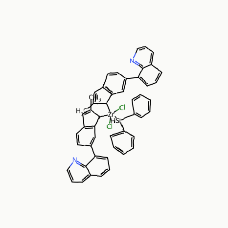 CC1=Cc2ccc(-c3cccc4cccnc34)cc2[CH]1[Zr]([Cl])([Cl])([CH]1C(C)=Cc2ccc(-c3cccc4cccnc34)cc21)[SiH](c1ccccc1)c1ccccc1